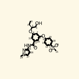 CC[C@@H](CO)Oc1cc(Oc2ccc(S(C)(=O)=O)cc2)cc(C(=O)Nc2ccn(C)n2)c1